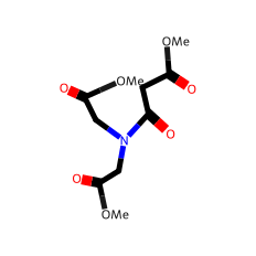 COC(=O)CC(=O)N(CC(=O)OC)CC(=O)OC